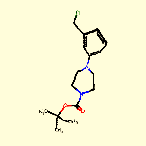 CC(C)(C)OC(=O)N1CCN(c2cccc(CCl)c2)CC1